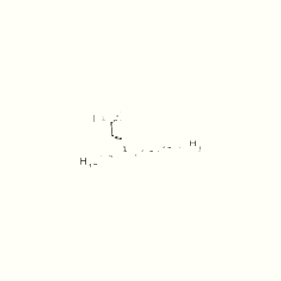 CCCCCCC(C=CC(=O)O)CCC